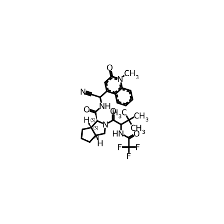 Cn1c(=O)cc(C(C#N)NC(=O)[C@@H]2[C@H]3CCC[C@H]3CN2C(=O)C(NC(=O)C(F)(F)F)C(C)(C)C)c2ccccc21